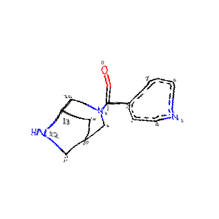 O=C(c1ccncc1)N1CC2CNC(C2)C1